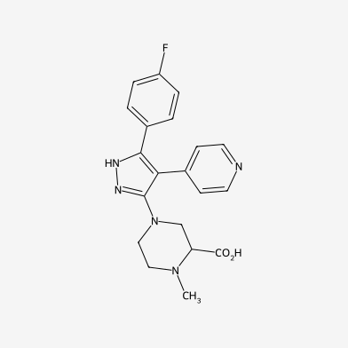 CN1CCN(c2n[nH]c(-c3ccc(F)cc3)c2-c2ccncc2)CC1C(=O)O